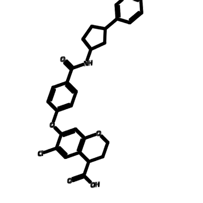 O=C(NC1CCC(c2ccc(Cl)cc2)C1)c1ccc(Oc2cc3c(cc2Cl)C(C(=O)O)CCO3)cc1